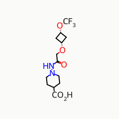 O=C(CO[C@H]1C[C@@H](OC(F)(F)F)C1)NN1CCC(C(=O)O)CC1